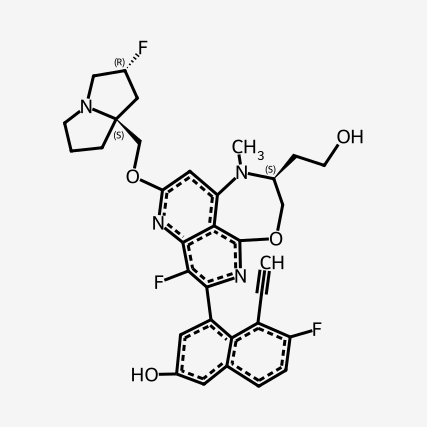 C#Cc1c(F)ccc2cc(O)cc(-c3nc4c5c(cc(OC[C@@]67CCCN6C[C@H](F)C7)nc5c3F)N(C)[C@@H](CCO)CO4)c12